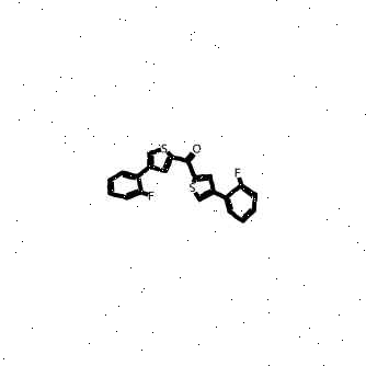 O=C(c1cc(-c2ccccc2F)cs1)c1cc(-c2ccccc2F)cs1